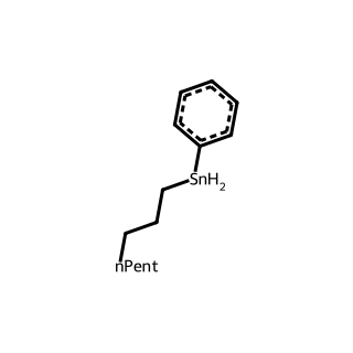 CCCCCCC[CH2][SnH2][c]1ccccc1